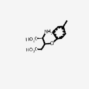 Cc1ccc(OC(CC(=O)O)[C@H](N)C(=O)O)cc1